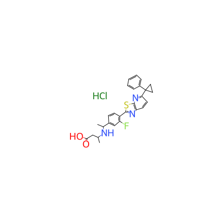 CC(CC(=O)O)NC(C)c1ccc(-c2nc3ccc(C4(c5ccccc5)CC4)nc3s2)c(F)c1.Cl